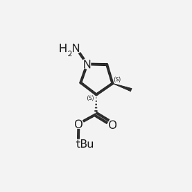 C[C@@H]1CN(N)C[C@H]1C(=O)OC(C)(C)C